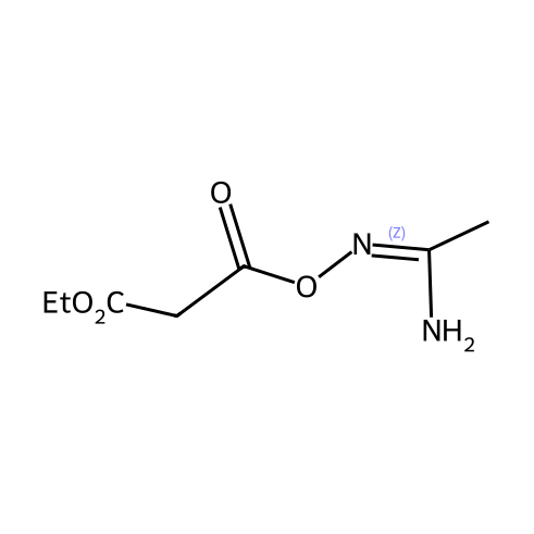 CCOC(=O)CC(=O)O/N=C(/C)N